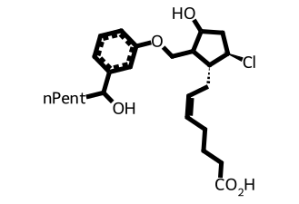 CCCCCC(O)c1cccc(OCC2C(O)C[C@@H](Cl)[C@@H]2C/C=C\CCCC(=O)O)c1